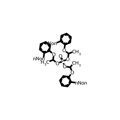 CCCCCCCCCc1ccccc1OC(C)OP(=O)(OC(C)Oc1ccccc1CCCCCCCCC)OC(C)Oc1ccccc1CCCCCCCCC